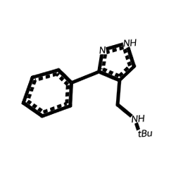 CC(C)(C)NCc1c[nH]nc1-c1ccccc1